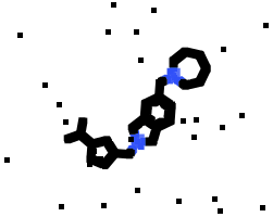 CC(C)C1CCC(CN2Cc3ccc(CN4CCCCCC4)cc3C2)C1